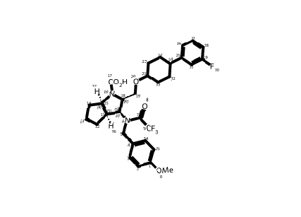 COc1ccc(CN(C(=O)C(F)(F)F)[C@H]2[C@H]3CCC[C@H]3N(C(=O)O)[C@H]2COC2CCC(c3cccc(F)c3)CC2)cc1